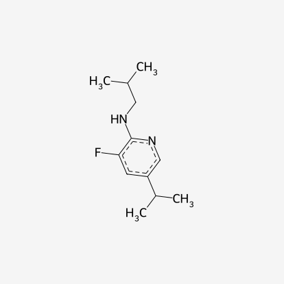 CC(C)CNc1ncc(C(C)C)cc1F